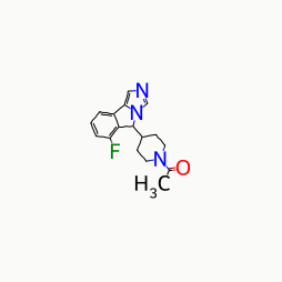 CC(=O)N1CCC(C2c3c(F)cccc3-c3cncn32)CC1